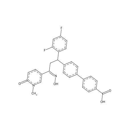 Cn1cc(C(CC(c2ccc(-c3ccc(C(=O)O)cc3)cc2)c2ccc(F)cc2F)=NO)ccc1=O